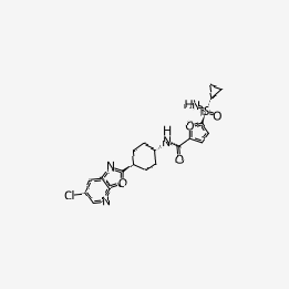 N=[S@](=O)(c1ccc(C(=O)N[C@H]2CC[C@H](c3nc4cc(Cl)cnc4o3)CC2)o1)C1CC1